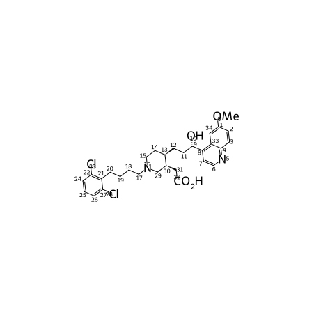 COc1ccc2nccc([C@@H](O)CC[C@@H]3CCN(CCCCc4c(Cl)cccc4Cl)C[C@@H]3CC(=O)O)c2c1